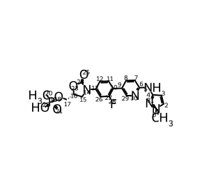 Cn1ccc(Nc2ccc(-c3ccc(N4C[C@H](COP(C)(=O)O)OC4=O)cc3F)cn2)n1